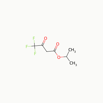 CC(C)OC(=O)CC(=O)C(F)(F)F